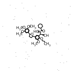 C#CC(c1cc(C2CCC(c3cc(OC)c(OC)c(OC)c3)O2)cc(OC)c1OCCC)N(O)C(=O)C1CCCCC1